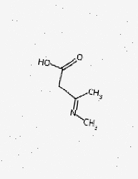 C/N=C(\C)CC(=O)O